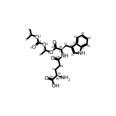 CC(C)OC(=O)OC(C)OC(=O)[C@@H](Cc1c[nH]c2ccccc12)NC(=O)CC[C@@H](N)C(=O)O